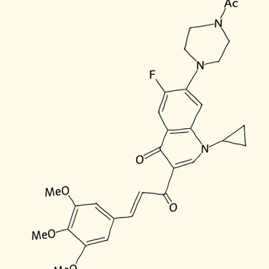 COc1cc(C=CC(=O)c2cn(C3CC3)c3cc(N4CCN(C(C)=O)CC4)c(F)cc3c2=O)cc(OC)c1OC